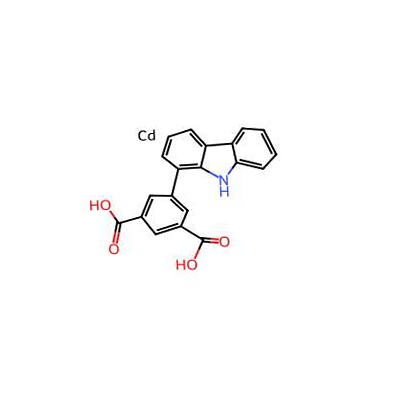 O=C(O)c1cc(C(=O)O)cc(-c2cccc3c2[nH]c2ccccc23)c1.[Cd]